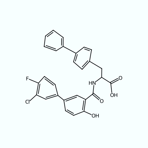 O=C(NC(Cc1ccc(-c2ccccc2)cc1)C(=O)O)c1cc(-c2ccc(F)c(Cl)c2)ccc1O